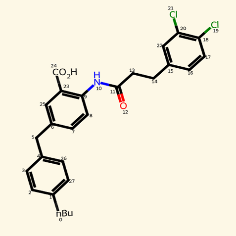 CCCCc1ccc(Cc2ccc(NC(=O)CCc3ccc(Cl)c(Cl)c3)c(C(=O)O)c2)cc1